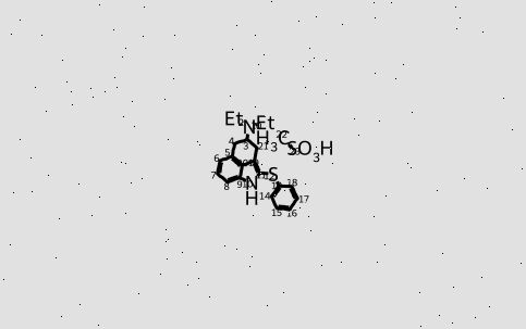 CCN(CC)C1Cc2cccc3[nH]c(Sc4ccccc4)c(c23)C1.CS(=O)(=O)O